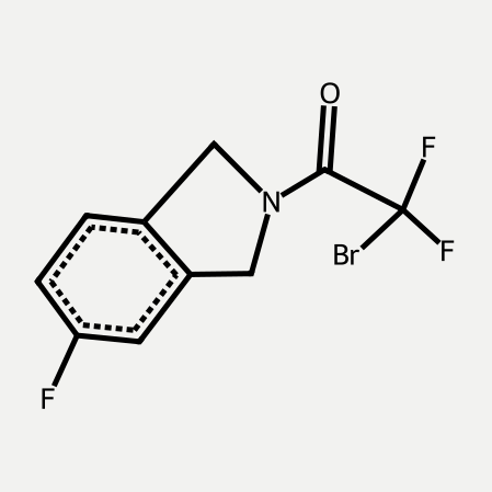 O=C(N1Cc2ccc(F)cc2C1)C(F)(F)Br